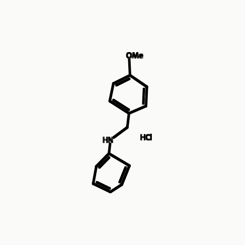 COc1ccc(CNc2ccccc2)cc1.Cl